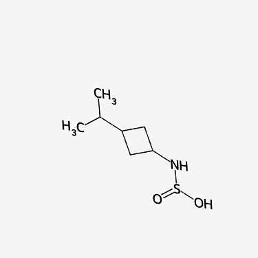 CC(C)C1CC(NS(=O)O)C1